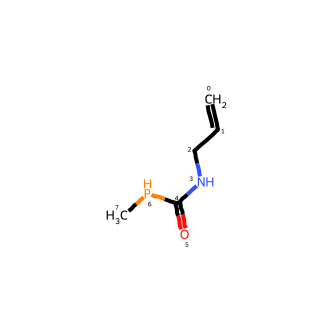 C=CCNC(=O)PC